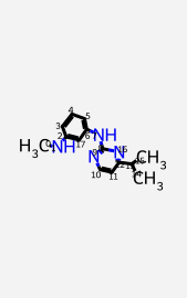 CNc1cccc(Nc2nccc(C(C)C)n2)c1